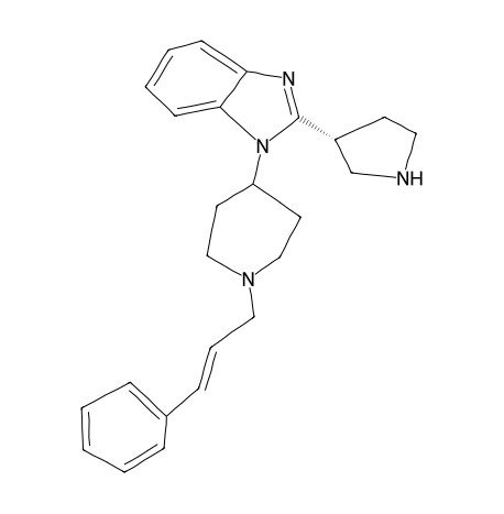 C(=C\c1ccccc1)/CN1CCC(n2c([C@@H]3CCNC3)nc3ccccc32)CC1